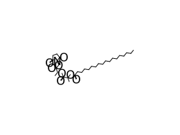 CCCCCCCCCCCCCCCCCC(=O)OC(C)C(=O)OC(C)C(=O)ON1C(=O)CCC1=O